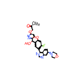 COC(=O)COc1ccc(C(O)c2cc(-c3ncnc4cc(N5CCOCC5)ccc34)c(F)cc2O)nn1